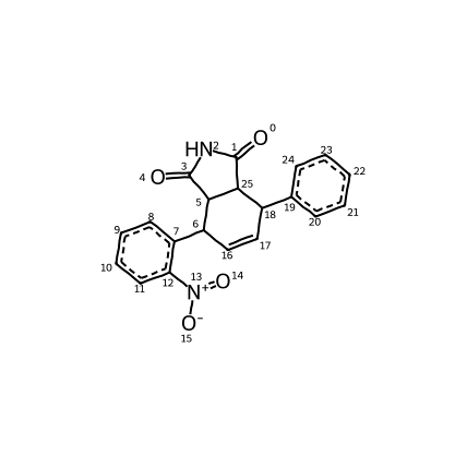 O=C1NC(=O)C2C(c3ccccc3[N+](=O)[O-])C=CC(c3ccccc3)C12